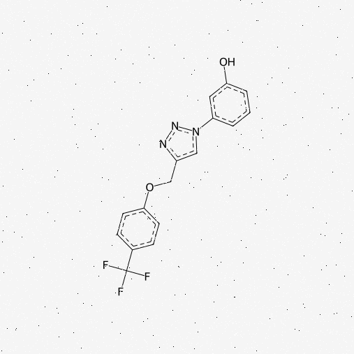 Oc1cccc(-n2cc(COc3ccc(C(F)(F)F)cc3)nn2)c1